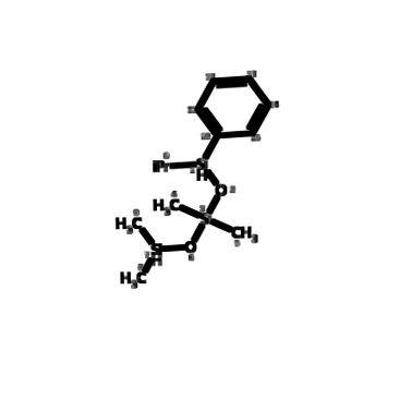 CC(C)[SiH](O[Si](C)(C)O[SiH](C)C)c1ccccc1